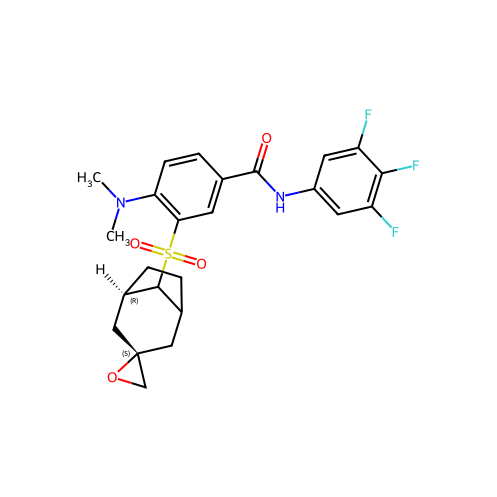 CN(C)c1ccc(C(=O)Nc2cc(F)c(F)c(F)c2)cc1S(=O)(=O)C1C2CC[C@@H]1C[C@]1(CO1)C2